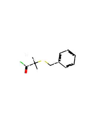 CC(C)(SCc1ccccc1)C(=O)Cl